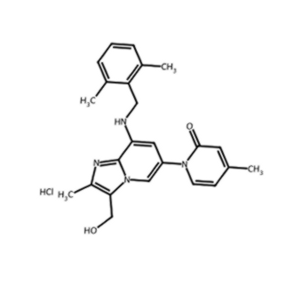 Cc1ccn(-c2cc(NCc3c(C)cccc3C)c3nc(C)c(CO)n3c2)c(=O)c1.Cl